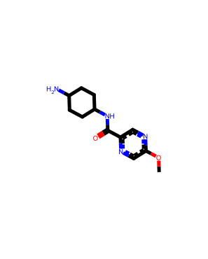 COc1cnc(C(=O)NC2CCC(N)CC2)cn1